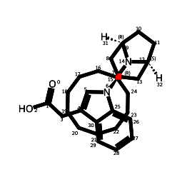 O=C(O)Cc1cn([C@H]2C[C@H]3CC[C@@H](C2)N3C2CCCCCCCCC2)c2ccccc12